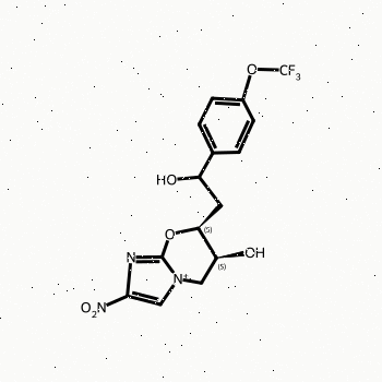 O=[N+]([O-])C1=C[N+]2C[C@H](O)[C@H](CC(O)c3ccc(OC(F)(F)F)cc3)OC2=N1